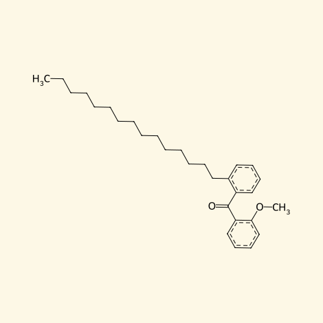 CCCCCCCCCCCCCCCc1ccccc1C(=O)c1ccccc1OC